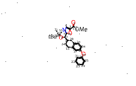 COC(=O)c1cnc(C(O[Si](C)(C)C(C)(C)C)C2CCc3cc(Oc4ccccc4)ccc3C2)o1